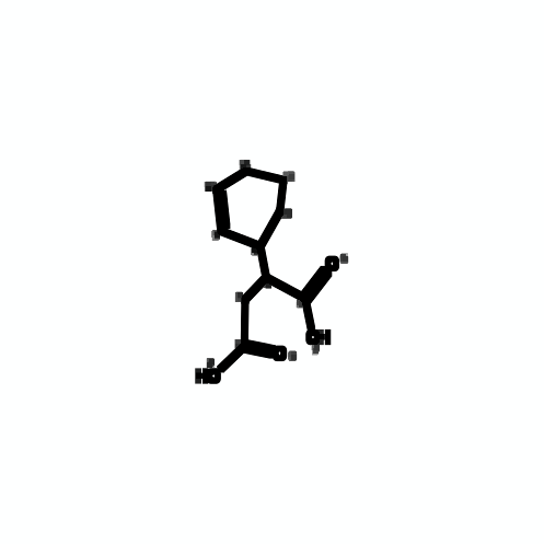 O=C(O)CC(C(=O)O)C1C=CCCC1